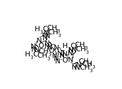 CC(C)(C)n1cc(CN(Cc2cn(C(C)(C)C)nn2)C(=O)Cn2cc(CN(Cc3cn(CC(=O)N(Cc4cn(C(C)(C)C)nn4)Cc4cn(C(C)(C)C)nn4)nn3)C(=O)CN=[N+]=[N-])nn2)nn1